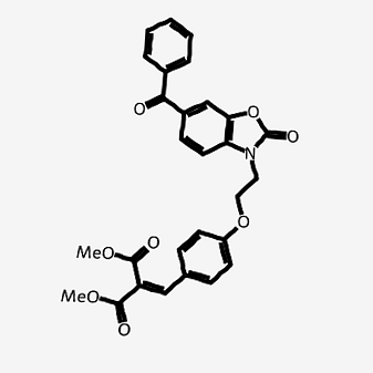 COC(=O)C(=Cc1ccc(OCCn2c(=O)oc3cc(C(=O)c4ccccc4)ccc32)cc1)C(=O)OC